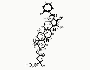 Cc1ccccc1C(=O)N[C@@]12CC[C@]3(C)[C@H](CC[C@@H]4[C@@]5(C)CC[C@H](OC(=O)CC(C)(C)C(=O)O)C(C)(C)[C@@H]5CC[C@]43C)C1=C(C(C)C)C(=O)C2